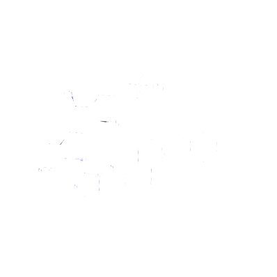 C[C@H]1C[C@@H](c2ccncc2Nc2ncc3ccc(-c4c(F)cc(OC5CCOCC5)cc4F)nn23)C[C@@H](N)[C@H]1OCCS(C)(=O)=O